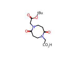 CC(C)(C)OC(=O)CN1CCC(=O)N(CC(=O)O)CCC1=O